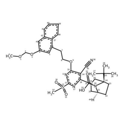 COCOc1cc(CCOc2nc(S(C)(=O)=O)nc(N3C[C@@H]4CC[C@@](C(C)(C)C)(C3)N4C(=O)O)c2C#N)c2ccccc2c1